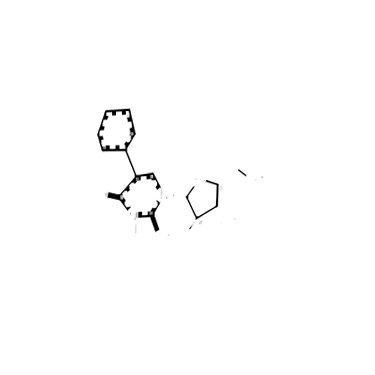 CC(=O)OC[C@H]1O[C@@H](n2cc(-c3ccccc3)c(=O)[nH]c2=O)[C@H](OC(C)=O)[C@H]1OC(C)=O